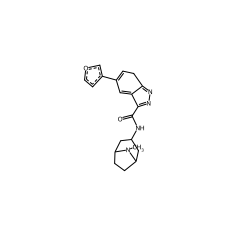 CN1C2CCC1CC(NC(=O)C1=NN=C3CC=C(c4ccoc4)C=C31)C2